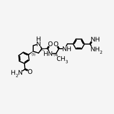 C[C@H](NC(=O)[C@H]1C[C@@H](c2cccc(C(N)=O)c2)CN1)C(=O)NCc1ccc(C(=N)N)cc1